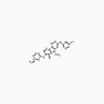 Cn1c2cc(Oc3cccc(F)n3)ccc2c2cnn(Cc3cccc(N)c3)c(=O)c21